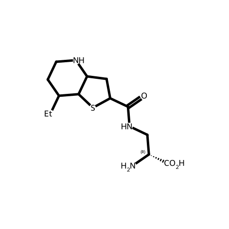 CCC1CCNC2CC(C(=O)NC[C@@H](N)C(=O)O)SC12